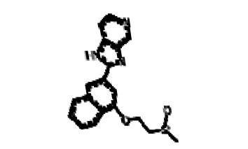 C[S+]([O-])CCOc1cc(-c2nc3cnccc3[nH]2)cc2ccccc12